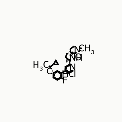 CC(Oc1ccc(F)c(-c2ccnc([C@H]3CC[C@@]4(CCN(C)C4=O)N3)c2)c1)C1CC1.Cl